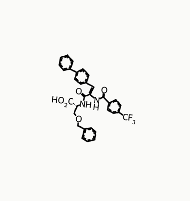 O=C(N[C@H](COCc1ccccc1)C(=O)O)/C(=C\c1ccc(-c2ccccc2)cc1)NC(=O)c1ccc(C(F)(F)F)cc1